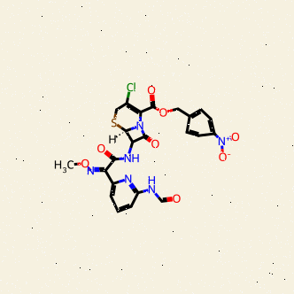 CO/N=C(\C(=O)NC1C(=O)N2C(C(=O)OCc3ccc([N+](=O)[O-])cc3)=C(Cl)CS[C@H]12)c1cccc(NC=O)n1